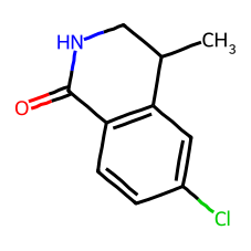 CC1CNC(=O)c2ccc(Cl)cc21